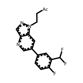 CC(=O)CCn1ncc2ncc(-c3ccc(F)c(C(F)F)c3)cc21